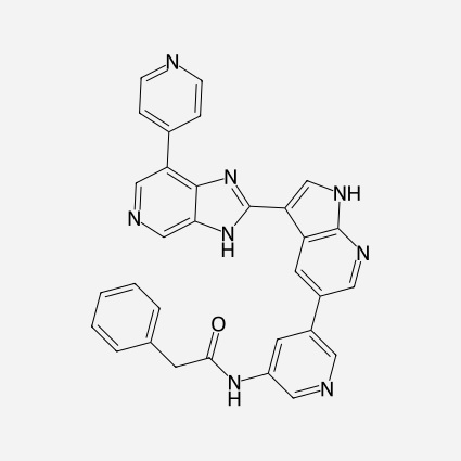 O=C(Cc1ccccc1)Nc1cncc(-c2cnc3[nH]cc(-c4nc5c(-c6ccncc6)cncc5[nH]4)c3c2)c1